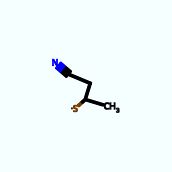 CC([S])CC#N